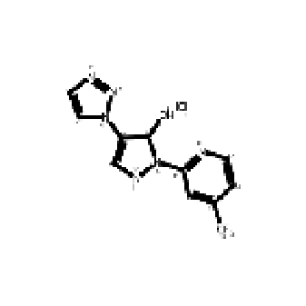 Cl.OC1C(n2ccnn2)=CNN1c1cc(C(F)(F)F)ccn1